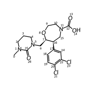 CN1CCCN(C[C@H]2OCCN(C(=O)O)C[C@H]2c2ccc(Cl)c(Cl)c2)C1=O